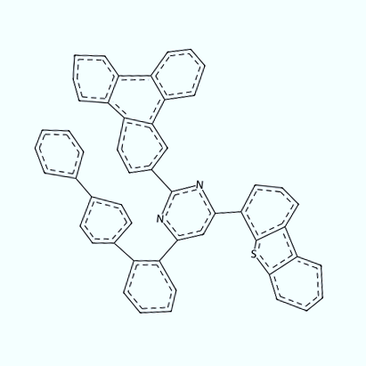 c1ccc(-c2ccc(-c3ccccc3-c3cc(-c4cccc5c4sc4ccccc45)nc(-c4ccc5c6ccccc6c6ccccc6c5c4)n3)cc2)cc1